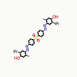 Cc1cc(O)c(C(C)C)cc1/N=N/c1ccc(S(=O)(=O)c2ccc(/N=N/c3cc(C(C)C)c(O)cc3C)cc2)cc1